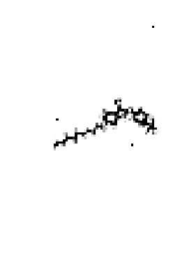 CCCCCCCCCCOc1ccc2c(c1)SC(=Cc1ccc(C(C)(C)C)cc1)C2=O